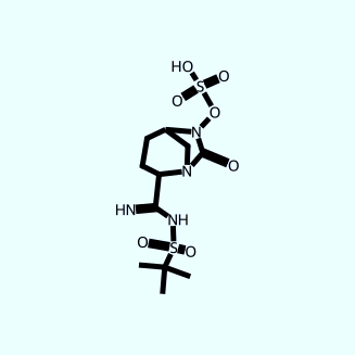 CC(C)(C)S(=O)(=O)NC(=N)C1CCC2CN1C(=O)N2OS(=O)(=O)O